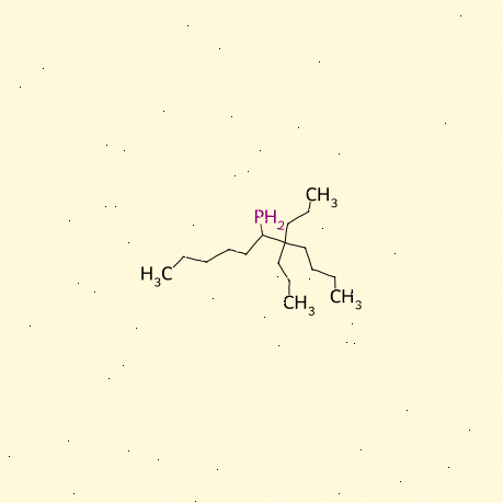 CCCCCC(P)C(CCC)(CCC)CCCC